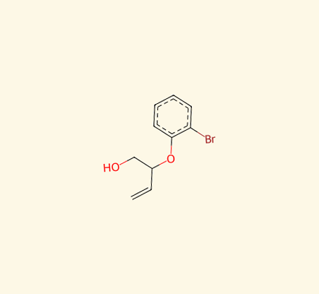 C=CC(CO)Oc1ccccc1Br